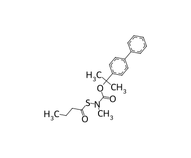 CCCC(=O)SN(C)C(=O)OC(C)(C)c1ccc(-c2ccccc2)cc1